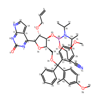 C=CCO[C@H]1C(C2=NC(=O)N=C3N=CC=C32)O[C@H](COC(c2ccccc2)(c2ccc(OC)cc2)c2ccc(OC)cc2C)[C@@H]1OP(OCCC#N)N(C(C)C)C(C)C